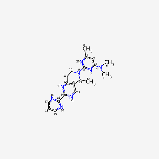 Cc1cc(N(C)C)nc(N2CCc3nc(-c4ncccn4)ncc3C2C)n1